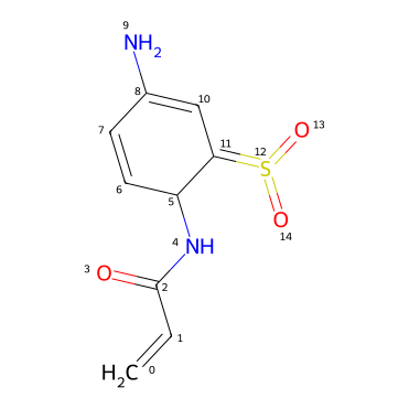 C=CC(=O)NC1C=CC(N)=CC1=S(=O)=O